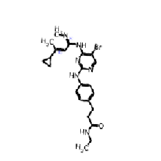 CCNC(=O)CCc1ccc(Nc2ncc(Br)c(NC(/C=C(\C)C3CC3)=N/C)n2)cc1